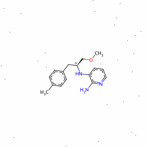 COC[C@H](Cc1ccc(C)cc1)Nc1cccnc1N